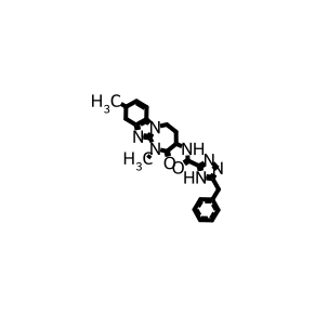 CC1C=Cc2c(nc3n2CCC(NC(=O)c2nnc(Cc4ccccc4)[nH]2)C(=O)N3C)C1